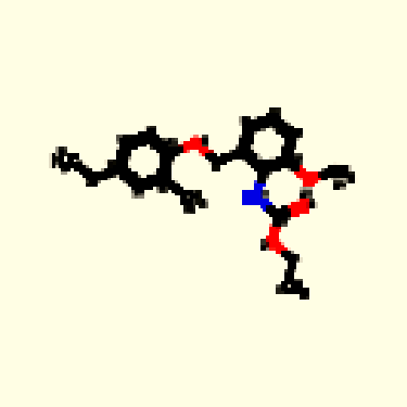 CCOC(=O)Nc1c(COc2ccc(CC)cc2C)cccc1OC